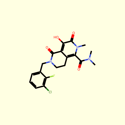 CN(C)C(=O)c1c2c(c(O)c(=O)n1C)C(=O)N(Cc1cccc(Cl)c1F)CC2